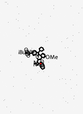 CCC(C)S(=O)(=O)NC(=O)c1ccc2c(C3CCCCC3)c3n(c2c1)CC(c1c(C(=O)N2C4CCC2CN(C)C4)cnn1C)=Cc1cc(OC)ccc1-3